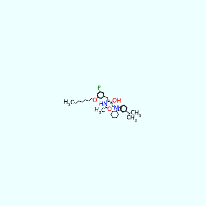 CCCCCCCOc1cc(F)cc(C[C@H](NC(C)=O)[C@@H](O)CNC2(c3cccc(C(C)C)c3)CCCCC2)c1